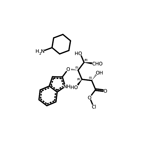 NC1CCCCC1.O=C[C@H](O)[C@@H](Oc1cc2ccccc2[nH]1)[C@H](O)[C@H](O)C(=O)OCl